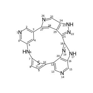 c1ncc2cc1[nH]c1ccc(s1)c1cncc3[nH]c(nc31)c1n[nH]c3cnc2cc31